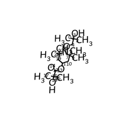 CC(C)(O)CON1C(C)(C)CC(OC(=O)C(C)(C)O)CC1(C)C